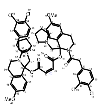 COc1ccc2c(c1)CCN(C(=O)Cc1ccc(Cl)c(Cl)c1)C2(CN1CCCC1)OC(=O)/C=C\C(=O)OC1(CN2CCCC2)c2ccc(OC)cc2CCN1C(=O)Cc1ccc(Cl)c(Cl)c1